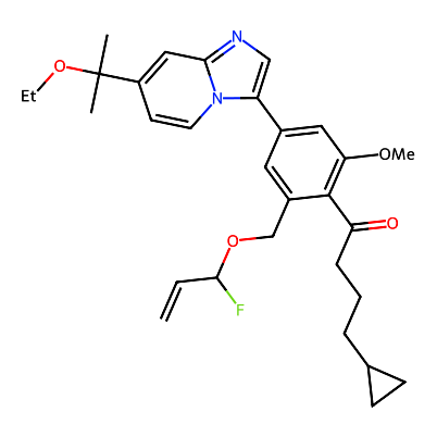 C=CC(F)OCc1cc(-c2cnc3cc(C(C)(C)OCC)ccn23)cc(OC)c1C(=O)CCCC1CC1